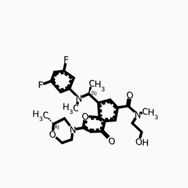 C[C@@H]1CN(c2cc(=O)c3cc(C(=O)N(C)CCO)cc([C@H](C)N(C)c4cc(F)cc(F)c4)c3o2)CCO1